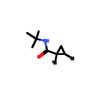 [2H]C1CC1([2H])C(=O)NC(C)(C)C